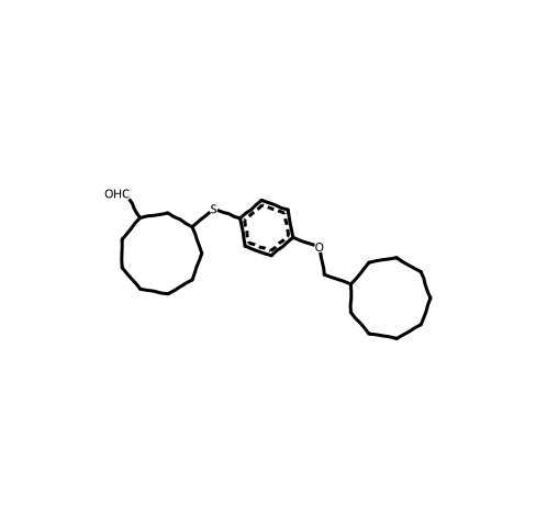 O=CC1CCCCCCC(Sc2ccc(OCC3CCCCCCCC3)cc2)C1